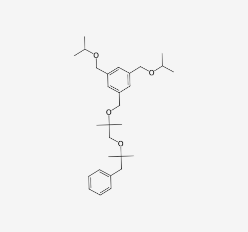 CC(C)OCc1cc(COC(C)C)cc(COC(C)(C)COC(C)(C)Cc2ccccc2)c1